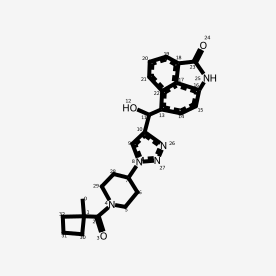 CC1(C(=O)N2CCC(n3cc(C(O)c4ccc5c6c(cccc46)C(=O)N5)nn3)CC2)CCC1